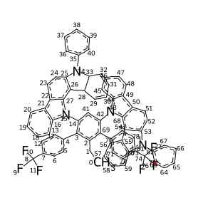 CCc1c(-c2ccc(C(F)(F)F)cc2)c(-n2c3ccccc3c3ccc4c(c32)C2C=CC=CC2N4c2ccccc2)cc(-n2c3ccccc3c3ccc4c(c5ccccc5n4-c4ccccc4)c32)c1-c1ccc(C(F)(F)F)cc1